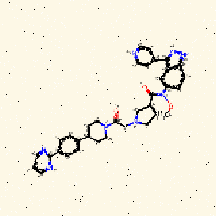 CON(C(=O)C1CCN(CC(=O)N2CC=C(c3ccc(-c4ncccn4)cc3)CC2)C1)c1ccc2[nH]nc(-c3ccncc3)c2c1